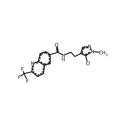 Cn1ncc(CCNC(=O)c2ccc3nc(C(F)(F)F)ccc3c2)c1Cl